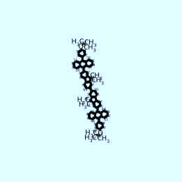 CC(C)(C)Oc1ccc(-c2c3ccccc3c(-c3ccc4c(c3)C(C)(C)c3cc(-c5ccc6c(c5)C(C)(C)c5cc(-c7c8ccccc8c(-c8ccc(OC(C)(C)C)cc8)c8ccccc78)ccc5-6)ccc3-4)c3ccccc23)cc1